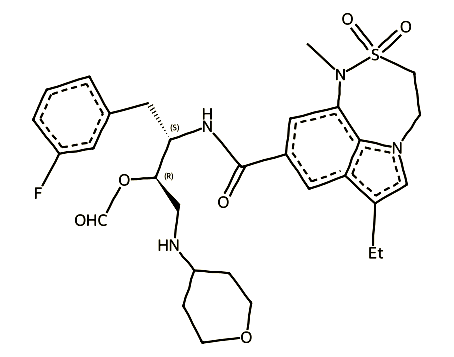 CCc1cn2c3c(cc(C(=O)N[C@@H](Cc4cccc(F)c4)[C@@H](CNC4CCOCC4)OC=O)cc13)N(C)S(=O)(=O)CC2